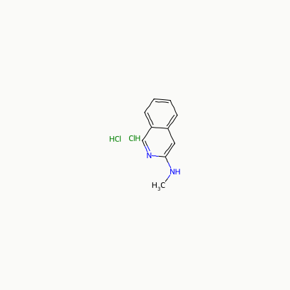 CNc1cc2ccccc2cn1.Cl.Cl